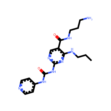 CCCNc1nc(NC(=O)Nc2ccncc2)ncc1C(=O)NCCCN